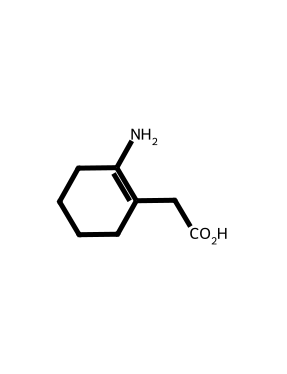 NC1=C(CC(=O)O)CCCC1